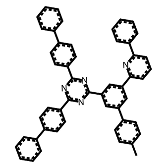 Cc1ccc(-c2cc(-c3cccc(-c4ccccc4)n3)cc(-c3nc(-c4ccc(-c5ccccc5)cc4)nc(-c4ccc(-c5ccccc5)cc4)n3)c2)cc1